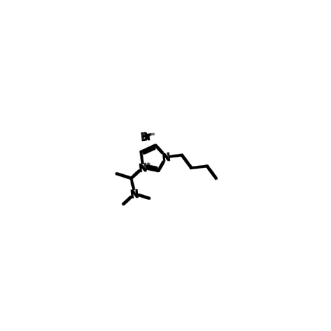 CCCCn1cc[n+](C(C)N(C)C)c1.[Br-]